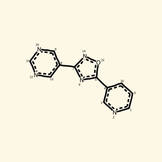 c1cncc(-c2nc(-c3cncnc3)no2)c1